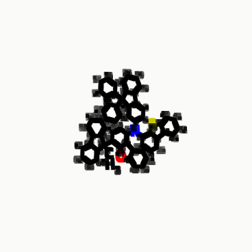 CC1(c2ccc(N(c3ccc4c(c3)C(c3ccccc3)(c3ccccc3)c3ccccc3-4)c3cccc4c3sc3ccccc34)c3c2oc2ccccc23)c2ccccc2-c2ccccc21